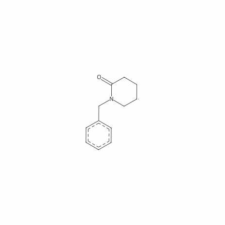 O=C1CC[CH]CN1Cc1ccccc1